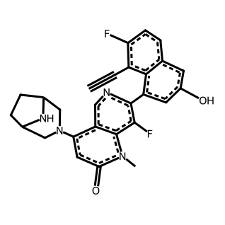 C#Cc1c(F)ccc2cc(O)cc(-c3ncc4c(N5CC6CCC(C5)N6)cc(=O)n(C)c4c3F)c12